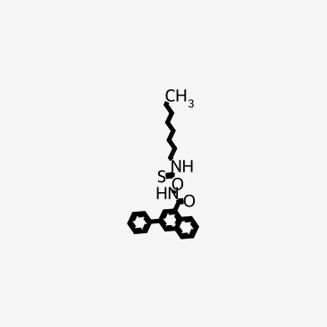 CCCCCCCCNC(=S)ONC(=O)c1cc(-c2ccccc2)cc2ccccc12